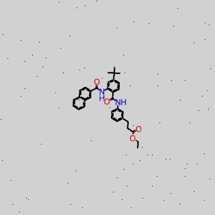 CCOC(=O)CCc1cccc(NC(=O)c2ccc(C(C)(C)C)cc2NC(=O)c2ccc3ccccc3c2)c1